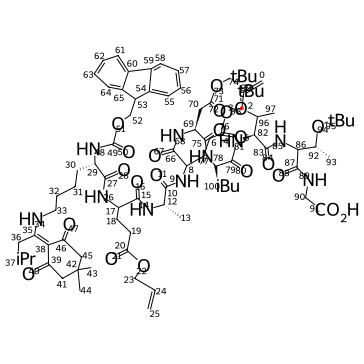 C=CCOC(=O)CCC(NC(=O)[C@H](C)NC(=O)C(CCC(=O)OCC=C)NC(=O)[C@H](CCCCNC(CC(C)C)=C1C(=O)CC(C)(C)CC1=O)NC(=O)OCC1c2ccccc2-c2ccccc21)C(=O)N[C@@H](CC(=O)OC(C)(C)C)C(=O)NC(C(=O)N[C@H](C(=O)NC(C(=O)NCC(=O)O)[C@@H](C)OC(C)(C)C)C(C)OC(C)(C)C)[C@H](C)CC